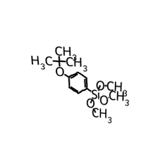 CO[Si](OC)(OC)c1ccc(OC(C)(C)C)cc1